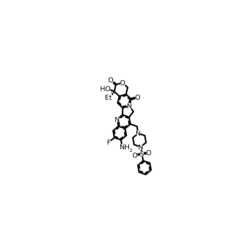 CC[C@@]1(O)C(=O)OCc2c1cc1n(c2=O)Cc2c-1nc1cc(F)c(N)cc1c2CN1CCN(S(=O)(=O)c2ccccc2)CC1